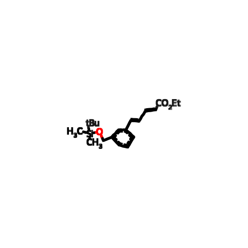 CCOC(=O)C=CC=Cc1cccc(CO[Si](C)(C)C(C)(C)C)c1